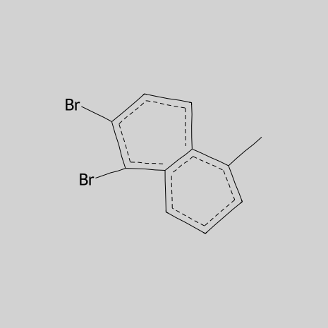 Cc1cccc2c(Br)c(Br)ccc12